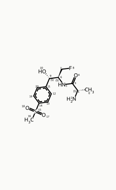 C[C@H](N)C(=O)N[C@H](CF)[C@@H](O)c1ccc(S(C)(=O)=O)cc1